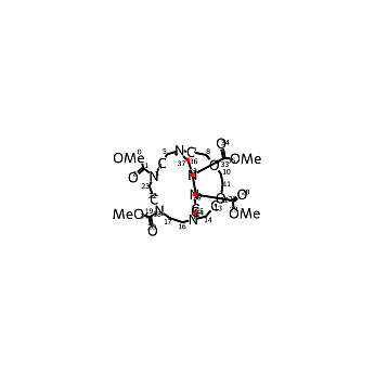 COC(=O)N1CCN2CCOCCOCCN(CCN(C(=O)OC)CC1)CCN(C(=O)OC)CCN(C(=O)OC)CC2